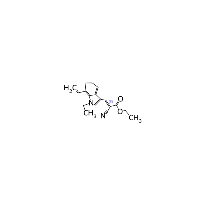 C=Cc1cccc2c(/C=C(\C#N)C(=O)OCC)cn(CC)c12